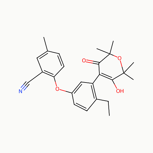 CCc1ccc(Oc2ccc(C)cc2C#N)cc1C1=C(O)C(C)(C)OC(C)(C)C1=O